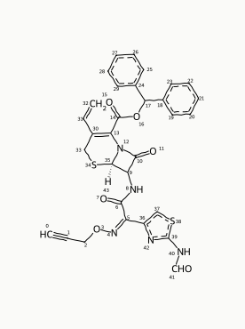 C#CCO/N=C(\C(=O)NC1C(=O)N2C(C(=O)OC(c3ccccc3)c3ccccc3)=C(C=C)CS[C@H]12)c1csc(NC=O)n1